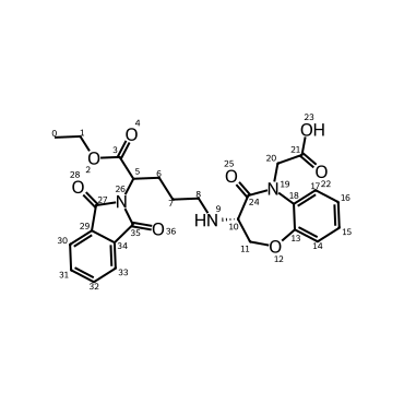 CCOC(=O)C(CCCN[C@H]1COc2ccccc2N(CC(=O)O)C1=O)N1C(=O)c2ccccc2C1=O